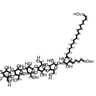 CCCCCCCC/C=C\CCCCCCCCCCCCCCCC(=O)N[C@@H](CO[C@@H]1OC(CO)[C@@H](O[C@@H]2OC(CO)[C@H](O[C@@H]3OC(CO)[C@H](O)[C@H](O[C@H]4OC(CO)[C@H](O)[C@H](O[C@H]5OC(CO)[C@H](O)[C@H](O)C5O)C4O)C3O)[C@H](O)C2O)[C@H](O)C1O)[C@H](O)/C=C/CCCCCCCCCCCCC